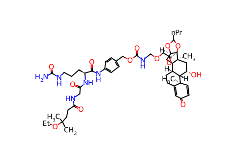 CCCC1O[C@@H]2CC3[C@@H]4CCC5=CC(=O)C=C[C@]5(C)[C@H]4[C@@H](O)C[C@]3(C)[C@]2(C(=O)COCNC(=O)OCc2ccc(NC(=O)[C@H](CCCNC(N)=O)NC(=O)CNC(=O)CCC(C)(C)OCC)cc2)O1